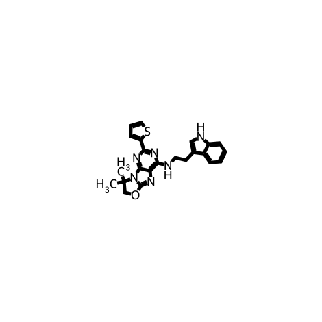 CC1(C)COc2nc3c(NCCc4c[nH]c5ccccc45)nc(-c4cccs4)nc3n21